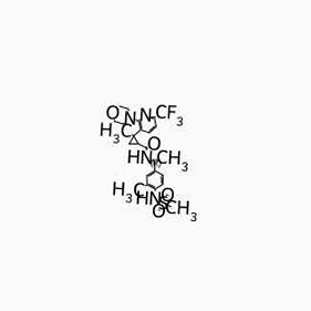 Cc1cc([C@@H](C)NC(=O)C2CC2(C)c2ccc(C(F)(F)F)nc2N2CCOCC2)ccc1NS(C)(=O)=O